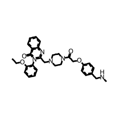 CCOc1ccccc1-n1c(CN2CCN(C(=O)COc3ccc(CNC)cc3)CC2)nc2ccccc2c1=O